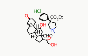 CCOC(=O)C1(c2ccccc2)CCN(C)CC1.C[C@]12CCC(=O)C=C1CC[C@@H]1[C@@H]2[C@@H](O)C[C@]2(C=O)[C@@H](C(=O)CO)CC[C@@H]12.Cl